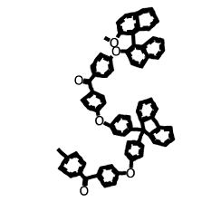 COc1ccc2ccccc2c1-c1c(Oc2ccc(C(=O)c3ccc(Oc4ccc(C5(c6ccc(Oc7ccc(C(=O)c8ccc(C)cc8)cc7)cc6)c6ccccc6-c6ccccc65)cc4)cc3)cc2)ccc2ccccc12